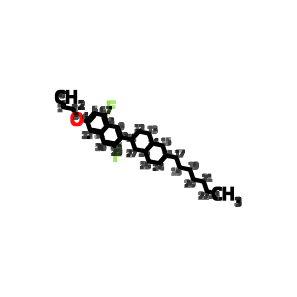 C=CCOc1cc(F)c2cc(C3CCC4CC(CCCCCCC)CCC4C3)c(F)cc2c1